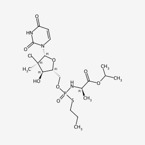 CCCSP(=O)(N[C@H](C)C(=O)OC(C)C)OC[C@H]1O[C@@H](n2ccc(=O)[nH]c2=O)[C@](C)(Cl)[C@@H]1O